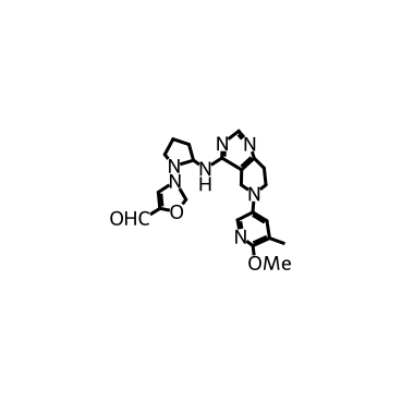 COc1ncc(N2CCc3ncnc(NC4CCCN4N4C=C(C=O)OC4)c3C2)cc1C